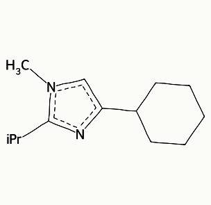 CC(C)c1nc(C2CCCCC2)cn1C